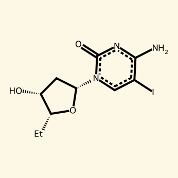 CC[C@H]1O[C@@H](n2cc(I)c(N)nc2=O)C[C@H]1O